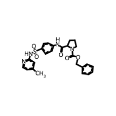 Cc1ccnc(NS(=O)(=O)c2ccc(NC(=O)C3CCCN3C(=O)OCc3ccccc3)cc2)c1